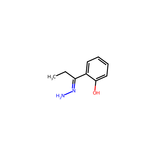 CCC(=NN)c1ccccc1O